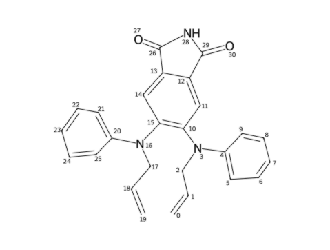 C=CCN(c1ccccc1)c1cc2c(cc1N(CC=C)c1ccccc1)C(=O)NC2=O